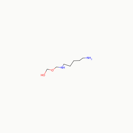 NCCCCCNCOCO